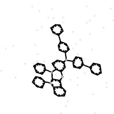 c1ccc(-c2ccc(N(c3ccc(-c4ccccc4)cc3)c3ccc4c(c3)Oc3c(n(-c5ccccc5)c5ccccc35)N4c3ccccc3)cc2)cc1